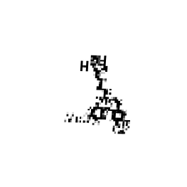 COc1ccc(C2c3cc4c(cc3CCN2C(=O)CCCCC(=O)NO)OCO4)cc1